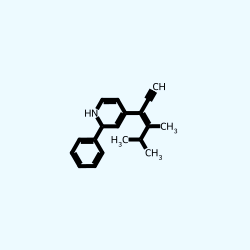 C#C/C(C1=CC(c2ccccc2)NC=C1)=C(\C)C(C)C